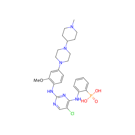 COc1cc(N2CCN(C3CCN(C)CC3)CC2)ccc1Nc1ncc(Cl)c(Nc2ccccc2P(=O)(O)O)n1